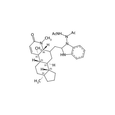 CC(=O)NN(C(C)=O)N1c2ccccc2NC1CC1C[C@H]2[C@@H]3CCC[C@@]3(C)CC[C@@H]2[C@@]2(C)C=CC(=O)N(C)[C@H]12